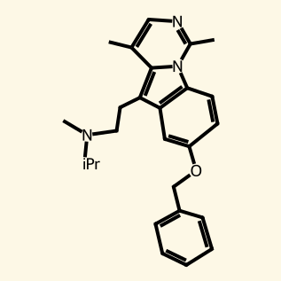 Cc1cnc(C)n2c1c(CCN(C)C(C)C)c1cc(OCc3ccccc3)ccc12